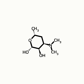 C[C@@H]1C[C@@H](N(C)C)[C@@H](O)[C@H](O)O1